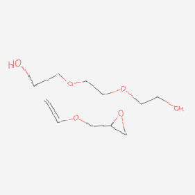 C=COCC1CO1.OCCOCCOCCO